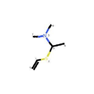 C=CSC(C)N(C)C